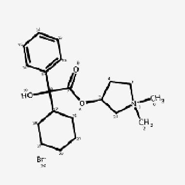 C[N+]1(C)CC[C@H](OC(=O)C(O)(c2ccccc2)C2CCCCC2)C1.[Br-]